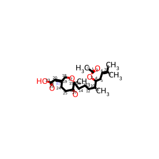 CC(=O)OC(CC=C(C)C)C(C)CCC[C@]1(C)OC/C(=C/C(=O)O)CCC1=O